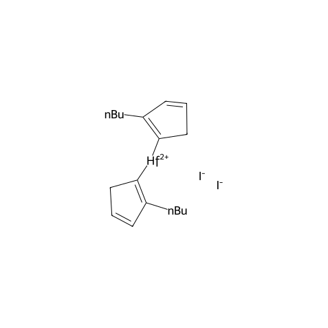 CCCCC1=[C]([Hf+2][C]2=C(CCCC)C=CC2)CC=C1.[I-].[I-]